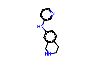 c1cncc(Nc2ccc3c(c2)CNCC3)c1